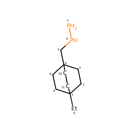 CCC12CCC(CPP)(CC1)CC2